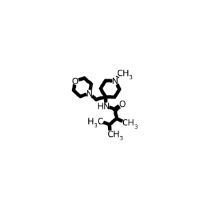 CC(C)C(C)C(=O)NC1(CN2CCOCC2)CCN(C)CC1